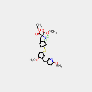 CCOC(=O)C(Cc1ccc(Sc2ccc(OC)c(Cc3ccc(OC)nc3)c2)cc1)(C(=O)OCC)N(Cl)Cl